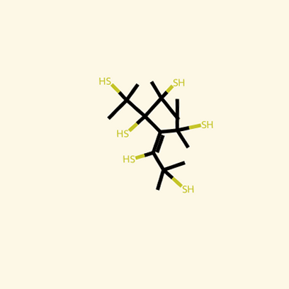 CC(C)(S)C(S)=C(C(C)(C)S)C(S)(C(C)(C)S)C(C)(C)S